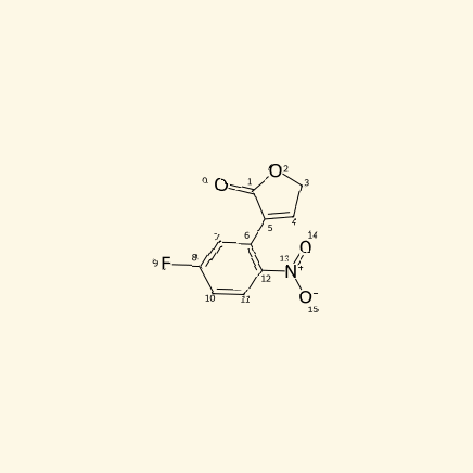 O=C1OCC=C1c1cc(F)ccc1[N+](=O)[O-]